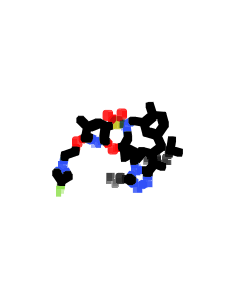 Cc1ccc([C@@H](c2ccn3c(C(F)(F)F)nnc3c2C)C(C)(C)C(=O)O)cc1CN1CC2(CC2)Oc2nc(OCCN3CC(F)C3)c(C)cc2S1(=O)=O